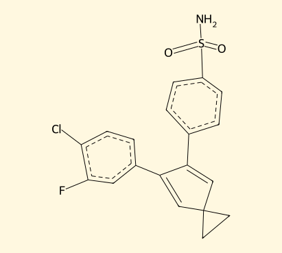 NS(=O)(=O)c1ccc(C2=CC3(C=C2c2ccc(Cl)c(F)c2)CC3)cc1